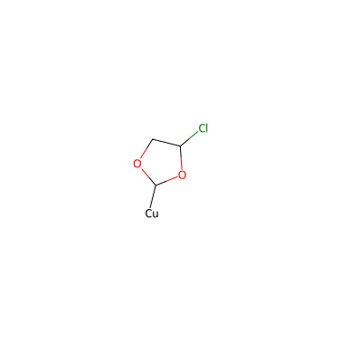 ClC1CO[CH]([Cu])O1